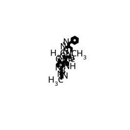 COc1cnc(-n2cnc(C)n2)c2[nH]cc(C(=O)C(=O)N3C(C)Cc4c(-c5ccccc5)ncnc4N3C)c12